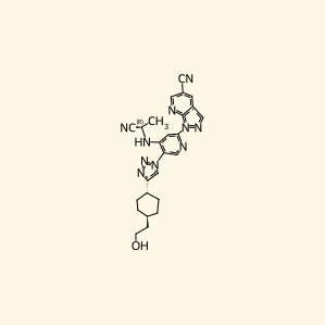 C[C@H](C#N)Nc1cc(-n2ncc3cc(C#N)cnc32)ncc1-n1cc([C@H]2CC[C@H](CCO)CC2)nn1